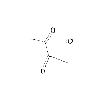 CC(=O)C(C)=O.[O]